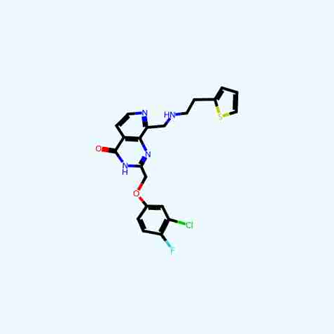 O=c1[nH]c(COc2ccc(F)c(Cl)c2)nc2c(CNCCc3cccs3)nccc12